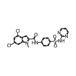 Cn1c(C(=O)Nc2ccc(S(=O)(=O)Nc3ncccn3)cc2)cc2c(Cl)cc(Cl)cc21